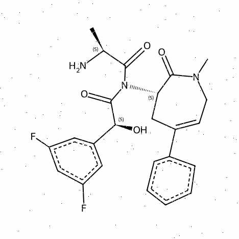 C[C@H](N)C(=O)N(C(=O)[C@@H](O)c1cc(F)cc(F)c1)[C@H]1CC(c2ccccc2)=CCN(C)C1=O